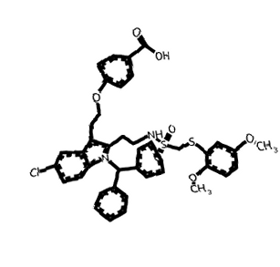 COc1ccc(OC)c(SCS(=O)(=O)NCCc2c(CCOc3ccc(C(=O)O)cc3)c3cc(Cl)ccc3n2C(c2ccccc2)c2ccccc2)c1